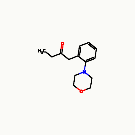 CCC(=O)Cc1ccccc1N1CCOCC1